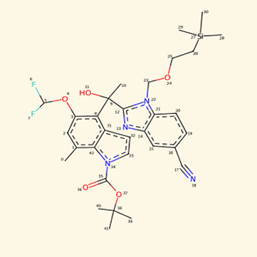 Cc1cc(OC(F)F)c(C(C)(O)c2nc3cc(C#N)ccc3n2COCC[Si](C)(C)C)c2ccn(C(=O)OC(C)(C)C)c12